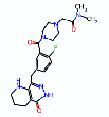 CN(C)C(=O)CN1CCN(C(=O)c2cc(Cc3n[nH]c(=O)c4c3NCCC4)ccc2F)CC1